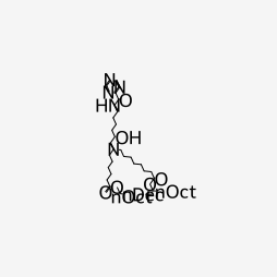 CCCCCCCCCCCOC(=O)CCCCCN(CCCCCCCC(=O)OC(CCCCCCCC)CCCCCCCC)CC(O)CCCCNC(=O)c1ncncn1